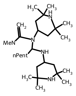 C=C(NC)N(C1CC(C)(C)NC(C)(C)C1)C(CCCCC)NC1CC(C)(C)NC(C)(C)C1